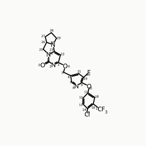 O=c1nc(OCc2cnc(Oc3ccc(Cl)c(C(F)(F)F)c3)c(F)c2)cc2n1CC1CCCN21